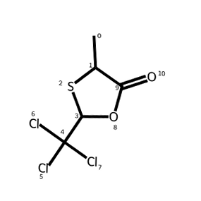 CC1SC(C(Cl)(Cl)Cl)OC1=O